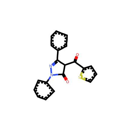 O=C(c1cccs1)C1C(=O)N(c2ccccc2)N=C1c1ccccc1